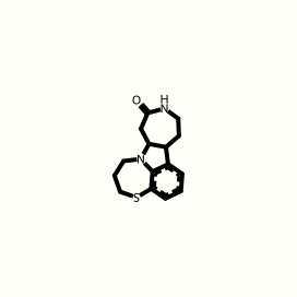 O=C1CC2C(CCN1)c1cccc3c1N2CCCS3